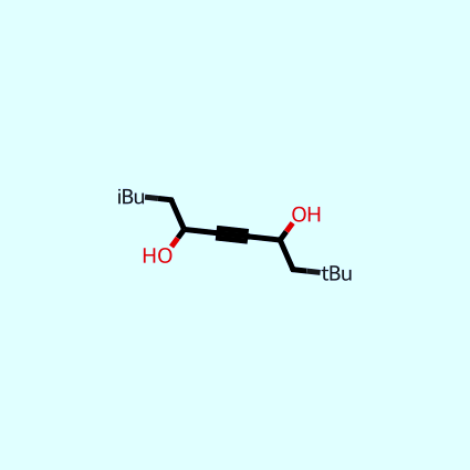 CCC(C)CC(O)C#CC(O)CC(C)(C)C